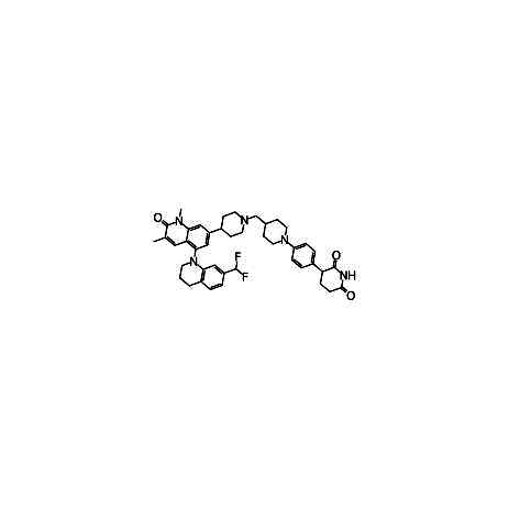 Cc1cc2c(N3CCCc4ccc(C(F)F)cc43)cc(C3CCN(CC4CCN(c5ccc(C6CCC(=O)NC6=O)cc5)CC4)CC3)cc2n(C)c1=O